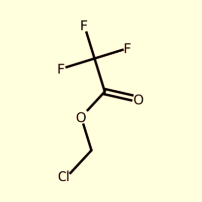 O=C(OCCl)C(F)(F)F